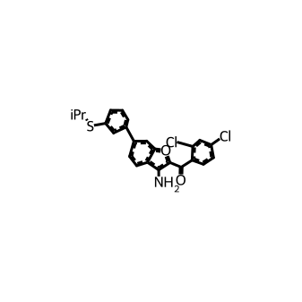 CC(C)Sc1cccc(-c2ccc3c(N)c(C(=O)c4ccc(Cl)cc4Cl)oc3c2)c1